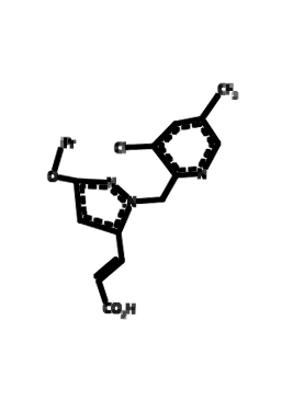 CC(C)Oc1cc(C=CC(=O)O)n(Cc2ncc(C(F)(F)F)cc2Cl)n1